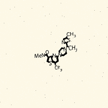 CNC(=O)c1csc2c(C(F)(F)F)cc(N3CCN(C(C)c4ncc(C)s4)CC3)nc12